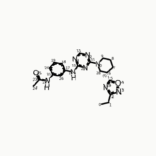 CCc1noc([C@H]2CCCN(c3ncnc(Nc4cccc(NC(C)=O)c4)n3)C2)n1